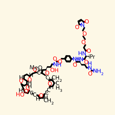 C=C1C[C@@H]2CC[C@]34C[C@@H](O)[C@@H](O3)C3C[C@@H](O4)[C@H]4O[C@H](CC[C@@H]4O3)CC(=O)C[C@H]3C(C[C@H]4O[C@@H](CC[C@@H]1O2)C[C@@H](C)C4=C)O[C@H](C[C@H](O)CNC(=O)OCc1ccc(NC(=O)[C@H](CCCNC(N)=O)NC(=O)[C@@H](NC(=O)CCOCCOCCN2C(=O)C=CC2=O)C(C)C)cc1)[C@@H]3OC